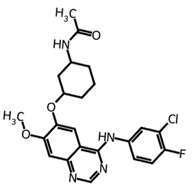 COc1cc2ncnc(Nc3ccc(F)c(Cl)c3)c2cc1OC1CCCC(NC(C)=O)C1